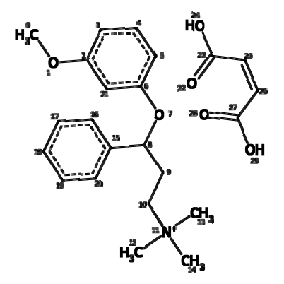 COc1cccc(OC(CC[N+](C)(C)C)c2ccccc2)c1.O=C(O)/C=C\C(=O)O